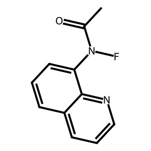 CC(=O)N(F)c1cccc2cccnc12